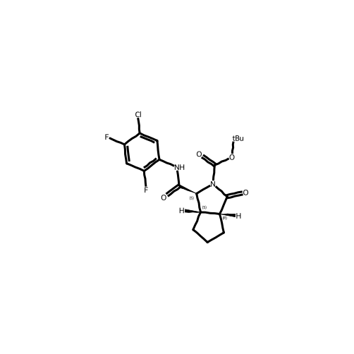 CC(C)(C)OC(=O)N1C(=O)[C@@H]2CCC[C@@H]2[C@H]1C(=O)Nc1cc(Cl)c(F)cc1F